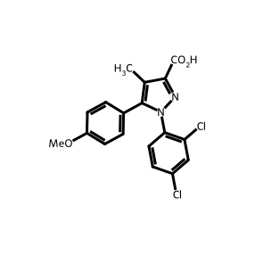 COc1ccc(-c2c(C)c(C(=O)O)nn2-c2ccc(Cl)cc2Cl)cc1